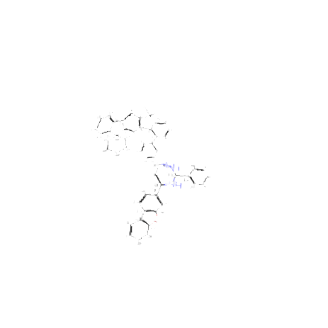 CC1(C)c2cc3c(cc2-c2c(-c4cccc(C5C=C(c6ccc7c8c(oc7c6)CCC=C8)NC(c6ccccc6)N5)c4)cccc21)C1(CCCCC1)c1ccccc1-3